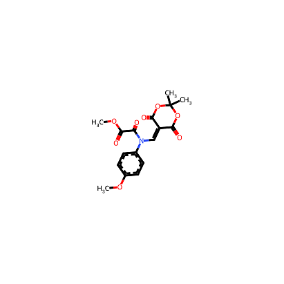 COC(=O)C(=O)N(C=C1C(=O)OC(C)(C)OC1=O)c1ccc(OC)cc1